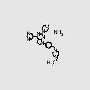 CCN1CCN(Cc2ccc(N3CCc4c(-c5cncnc5)nc(N5CCOCC5)nc43)cc2)CC1.N